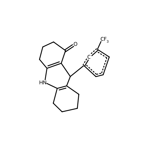 O=C1CCCC2=C1C(c1cccc(C(F)(F)F)c1)C1=C(CCCC1)N2